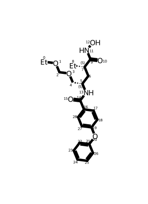 CCOCOC[C@H](C[C@H](CC)C(=O)NO)NC(=O)c1ccc(Oc2ccccc2)cc1